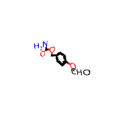 NC(=O)OCc1ccc(OC=O)cc1